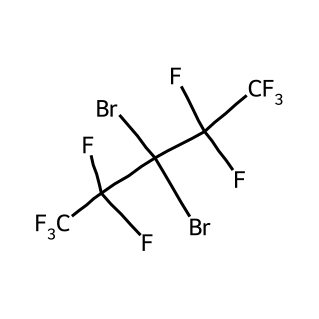 FC(F)(F)C(F)(F)C(Br)(Br)C(F)(F)C(F)(F)F